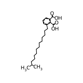 CC(C)CCCCCCCCCCCCc1cccc(C(=O)O)c1C(=O)O